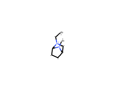 CC(C)CN1CC2CCC1N2C(C)C